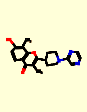 Cc1c(C2CCN(c3cnccn3)CC2)oc2c(C)c(O)ccc2c1=O